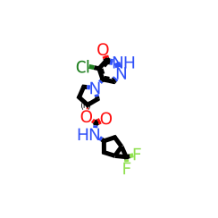 O=C(NC1CC2C(C1)C2(F)F)O[C@@H]1CCN(c2cn[nH]c(=O)c2Cl)C1